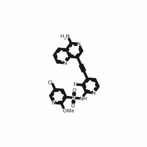 COc1ncc(Cl)cc1S(=O)(=O)Nc1nccc(C#Cc2cnc(N)c3cccnc23)c1F